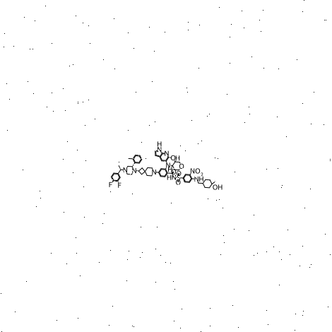 Cc1ccccc1[C@@H]1CN([C@H](C)c2ccc(F)c(F)c2)CCN1C1CC2(CCN(c3ccc(C(=O)NS(=O)(=O)c4ccc(NCC5CCC(C)(O)CC5)c([N+](=O)[O-])c4)c(N4c5cc6cc[nH]c6nc5O[C@H]5COCC[C@@H]54)c3)CC2)C1